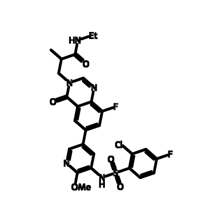 CCNC(=O)C(C)Cn1cnc2c(F)cc(-c3cnc(OC)c(NS(=O)(=O)c4ccc(F)cc4Cl)c3)cc2c1=O